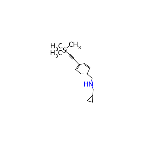 C[Si](C)(C)C#Cc1ccc(CNCC2CC2)cc1